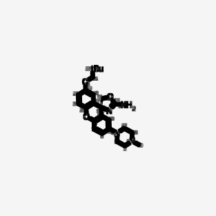 CN1CCN(c2ccc3c(c2)[C@@]2(COC(N)=N2)c2cc(OCC(C)(C)C)ccc2O3)CC1